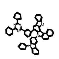 C1=c2c(n(-c3ccccc3)c3ccccc23)=CCC1n1c2ccc3ccccc3c2c2c3oc4ccccc4c3cc(-c3cccc(-c4nc(-c5ccccc5)nc(-c5ccccc5)n4)c3)c21